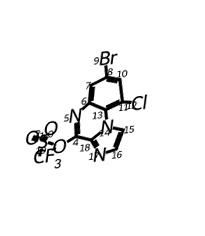 O=S(=O)(Oc1nc2cc(Br)cc(Cl)c2n2ccnc12)C(F)(F)F